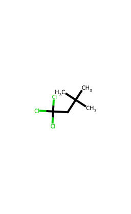 CC(C)(C)CC(Cl)(Cl)Cl